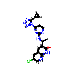 CC(Nc1nccc(-n2nnnc2C2CC2)n1)c1cc2cc(Cl)cnc2[nH]c1=O